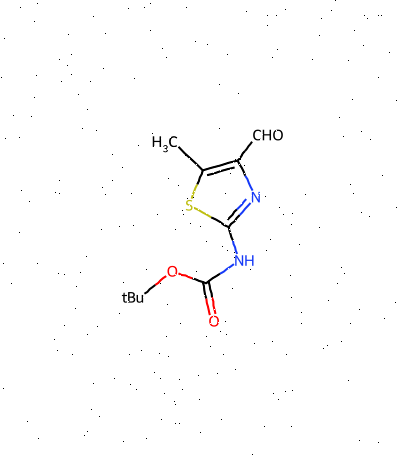 Cc1sc(NC(=O)OC(C)(C)C)nc1C=O